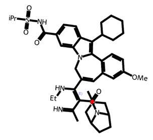 CCN/C(C1=Cc2cc(OC)ccc2-c2c(C3CCCCC3)c3ccc(C(=O)NS(=O)(=O)C(C)C)cc3n2C1)=C(\C(C)=N)C(=O)N1C2CCC1CN(C)C2